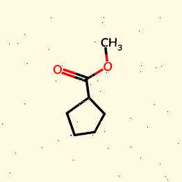 COC(=O)C1C[CH]CC1